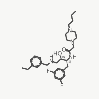 CCCCN1CCN(CC(=O)N[C@@H](Cc2cc(F)cc(F)c2)[C@H](O)CNCc2cccc(CC)c2)CC1